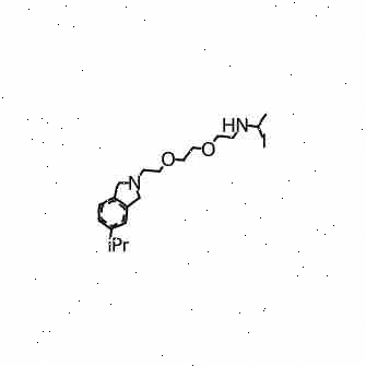 CC(I)NCCOCCOCCN1Cc2ccc(C(C)C)cc2C1